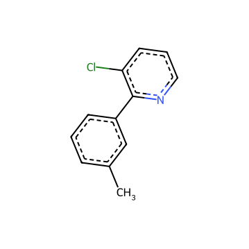 Cc1cccc(-c2ncccc2Cl)c1